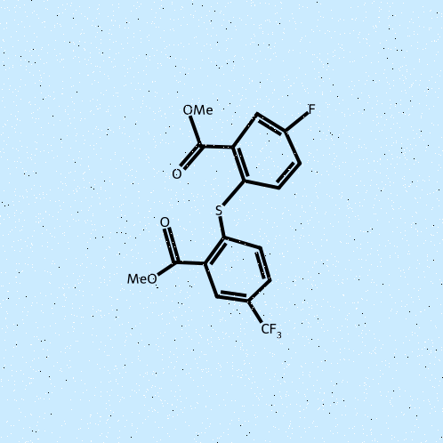 COC(=O)c1cc(F)ccc1Sc1ccc(C(F)(F)F)cc1C(=O)OC